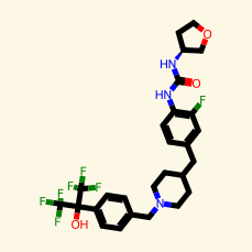 O=C(Nc1ccc(CC2CCN(Cc3ccc(C(O)(C(F)(F)F)C(F)(F)F)cc3)CC2)cc1F)N[C@H]1CCOC1